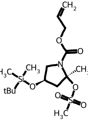 C=CCOC(=O)N1C[C@H](O[Si](C)(C)C(C)(C)C)C[C@]1(C)OS(C)(=O)=O